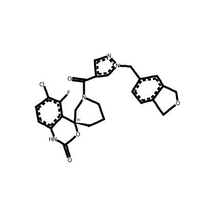 O=C1Nc2ccc(Cl)c(F)c2[C@@]2(CCCN(C(=O)c3cnn(Cc4ccc5c(c4)COC5)c3)C2)O1